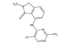 Cc1ncc(Cl)c(Nc2cccc3c2C(=O)N(C)C3)n1